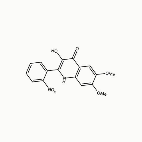 COc1cc2[nH]c(-c3ccccc3[N+](=O)[O-])c(O)c(=O)c2cc1OC